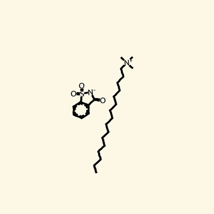 CCCCCCCCCCCCCCCC[N+](C)(C)C.O=C1[N-]S(=O)(=O)c2ccccc21